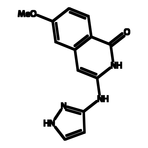 COc1ccc2c(=O)[nH]c(Nc3cc[nH]n3)cc2c1